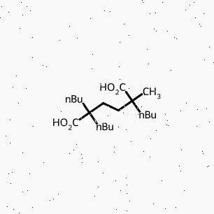 CCCCC(C)(CCC(CCCC)(CCCC)C(=O)O)C(=O)O